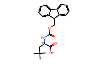 CC(C)(C)C[C@@H](NC(=O)OCC1c2ccccc2-c2ccccc21)C(=O)O